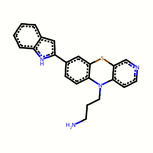 NCCCN1c2ccncc2Sc2cc(-c3cc4ccccc4[nH]3)ccc21